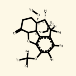 [2H]O[C@@]12CCC(=O)C3Oc4c(OC([2H])([2H])[2H])c([2H])c([2H])c5c4[C@@]31CCN(C)[C@@H]2C5([2H])[2H]